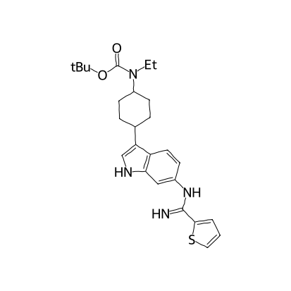 CCN(C(=O)OC(C)(C)C)C1CCC(c2c[nH]c3cc(NC(=N)c4cccs4)ccc23)CC1